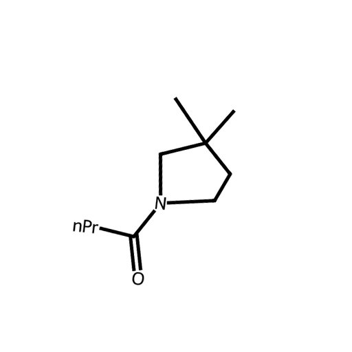 CCCC(=O)N1CCC(C)(C)C1